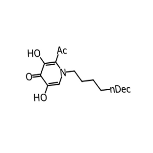 CCCCCCCCCCCCCCn1cc(O)c(=O)c(O)c1C(C)=O